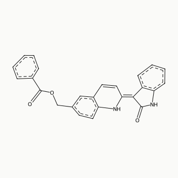 O=C1Nc2ccccc2/C1=C1\C=Cc2cc(COC(=O)c3ccccc3)ccc2N1